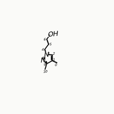 Cc1cn(CCCO)nc1C